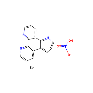 O=[N+]([O-])O.[Eu].c1cncc(-c2cccnc2-c2cccnc2)c1